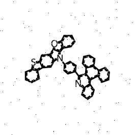 c1ccc2c(c1)nc(-c1ccc(-n3c4cc5c(cc4c4oc6ccccc6c43)sc3ccccc35)cc1)c1c3ccccc3c3ccccc3c21